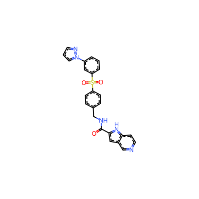 O=C(NCc1ccc(S(=O)(=O)c2cccc(-n3cccn3)c2)cc1)c1cc2cnccc2[nH]1